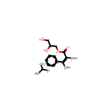 CCCCC(CC)C(=O)O.COC(C(=O)OCC(O)CO)=C(OC)c1ccccc1